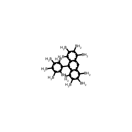 Bc1c(B)c(B)c(-c2c3c(B)c(B)c(B)c(B)c3cc3c(B)c(B)c(B)c(B)c23)c(B)c1B